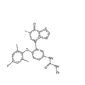 CCNC(=O)Nc1ccc(Oc2c(C)cc(F)cc2C)c(-n2cc(C)c(=O)c3sccc32)c1